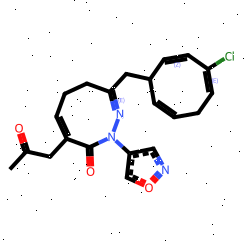 CC(=O)CC1=CCC/C(CC2C=CC/C=C(Cl)\C=C/2)=N\N(c2cnoc2)C1=O